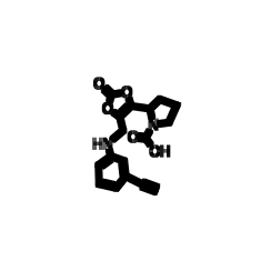 C#Cc1cccc(NCc2oc(=O)oc2C2CCCN2C(=O)O)c1